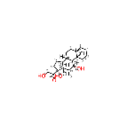 C[C@]12CCCC=C1CC[C@@H]1[C@@H]2C(O)C[C@@]2(C)[C@H]1CC[C@]2(O)C(=O)CO